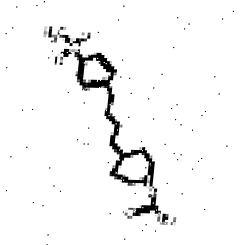 CC(C)(C)C(=O)ON1CCC(CCCCc2ccc(S(C)(=O)=O)cc2)CC1